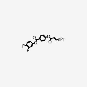 CCCC=CC(=O)Oc1ccc(C(=O)Oc2ccc(F)c(F)c2)cc1